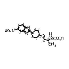 CC(C)COc1ccc2nc(N3CCC(OC[C@H](C)NC(=O)O)CC3)oc2c1